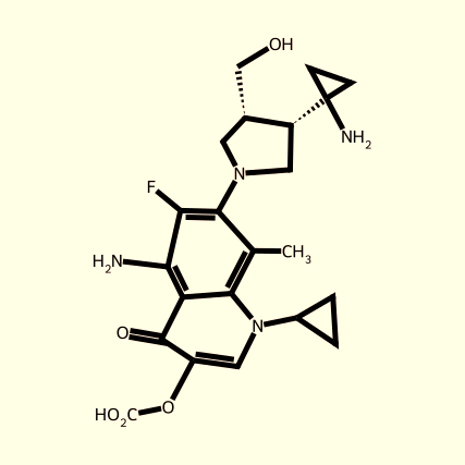 Cc1c(N2C[C@H](CO)[C@H](C3(N)CC3)C2)c(F)c(N)c2c(=O)c(OC(=O)O)cn(C3CC3)c12